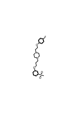 CS(=O)(=O)c1cccc(OCCCN2CCN(CCOc3ccc(F)cc3)CC2)c1